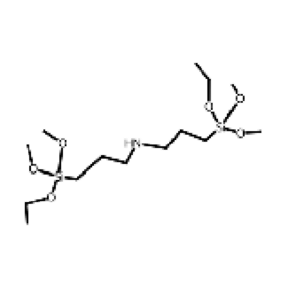 CCO[Si](CCCNCCC[Si](OC)(OC)OCC)(OC)OC